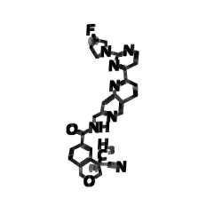 C[C@@]1(C#N)COCc2ccc(C(=O)NCc3cc4nc(-c5ccnc(N6CC[C@@H](F)C6)n5)ccc4cn3)cc21